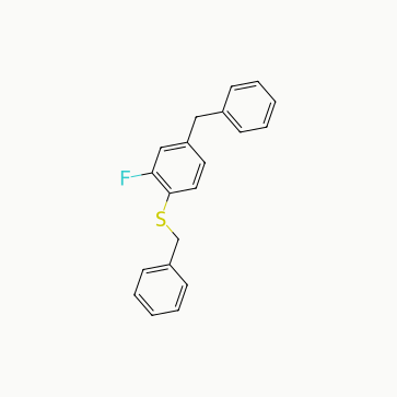 Fc1cc(Cc2ccccc2)ccc1SCc1ccccc1